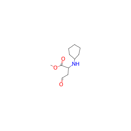 COC(=O)C(CC=O)NC1CCCCC1